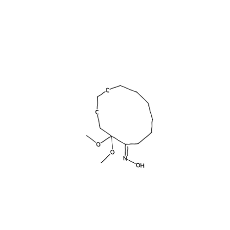 COC1(OC)CCCCCCCCCC/C1=N\O